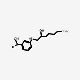 CCCCCCCCCCCCCCC(O)CNc1cccc(B(O)O)c1